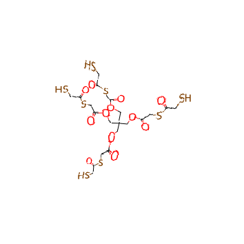 O=C(CSC(=O)CS)OCC(COC(=O)CSC(=O)CS)(COC(=O)CSC(=O)CS)COC(=O)CSC(=O)CS